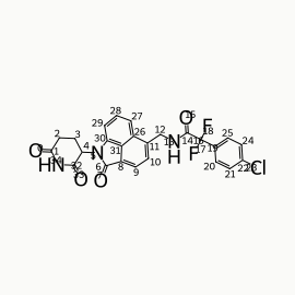 O=C1CCC(N2C(=O)c3ccc(CNC(=O)C(F)(F)c4ccc(Cl)cc4)c4cccc2c34)C(=O)N1